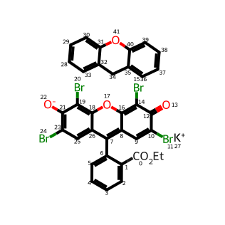 CCOC(=O)c1ccccc1-c1c2cc(Br)c(=O)c(Br)c-2oc2c(Br)c([O-])c(Br)cc12.[K+].c1ccc2c(c1)Cc1ccccc1O2